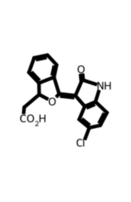 O=C(O)CC1OC(=C2C(=O)Nc3ccc(Cl)cc32)c2ccccc21